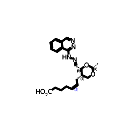 C[C@@H]1OC[C@H](C/C=C\CCCC(=O)O)[C@H](C=NNc2nncc3ccccc23)O1